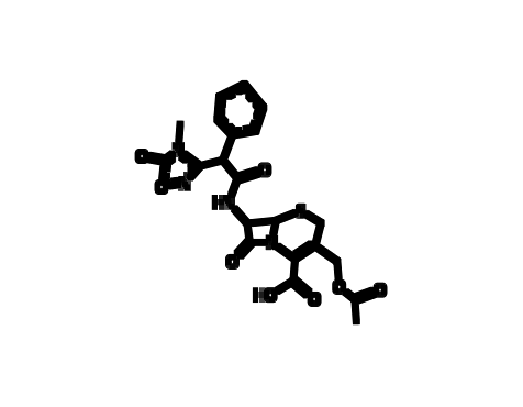 CC(=O)OCC1=C(C(=O)O)N2C(=O)C(NC(=O)C(c3ccccc3)c3noc(=O)n3C)C2SC1